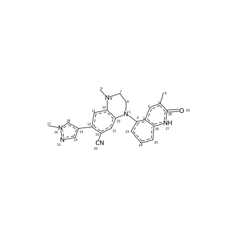 Cc1cc2c(N3CCN(C)c4cc(-c5cnn(C)c5)c(C#N)cc43)cccc2[nH]c1=O